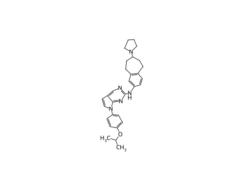 CC(C)Oc1ccc(-n2ccc3cnc(Nc4ccc5c(c4)CCC(N4CCCC4)CC5)nc32)cc1